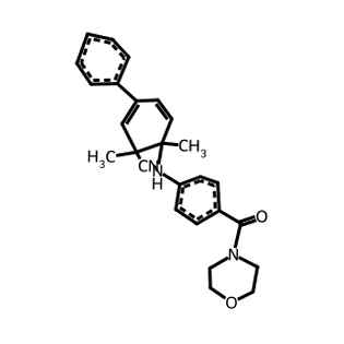 CC1(C#N)C=C(c2ccccc2)C=CC1(C)Nc1ccc(C(=O)N2CCOCC2)cc1